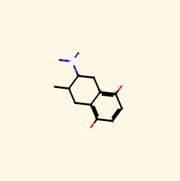 CCCN(CCC)C1Cc2c(O)ccc(O)c2CC1C